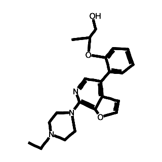 CCN1CCN(c2ncc(-c3ccccc3OC(C)CO)c3ccoc23)CC1